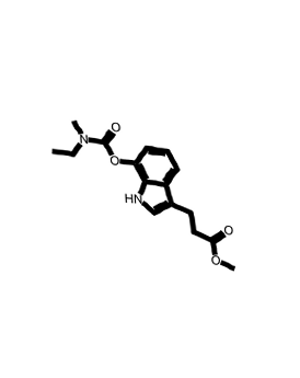 CCN(C)C(=O)Oc1cccc2c(CCC(=O)OC)c[nH]c12